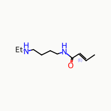 C/C=C/C(=O)NCCCCNCC